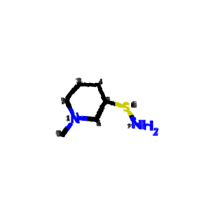 CN1CCCC(SN)C1